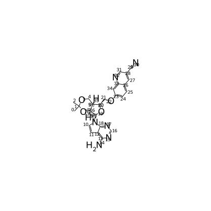 CC1(C)OC[C@H]2[C@@H](O1)[C@H](n1ccc3c(N)ncnc31)O[C@@H]2COc1ccc2cc(C#N)cnc2c1